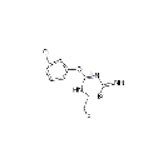 N=C(Br)/N=C(\NCCF)Oc1cccc(Cl)c1